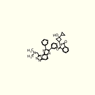 CN(C)Cc1nnc2ccc3nc(-c4ccc([C@]5(N6C(=O)c7ccccc7C6=O)C[C@](O)(C6CC6)C5)cc4)c(-c4ccccc4)nc3n12